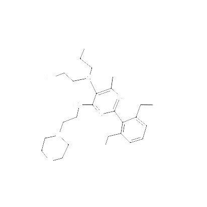 CCCN(CCC)c1c(C)nc(-c2c(CC)cccc2CC)nc1NCCN1CCOCC1